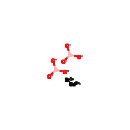 [Gd+3].[O-]B([O-])[O-].[O-]B([O-])[O-].[Sc+3]